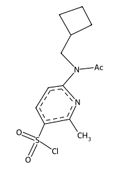 CC(=O)N(CC1CCC1)c1ccc(S(=O)(=O)Cl)c(C)n1